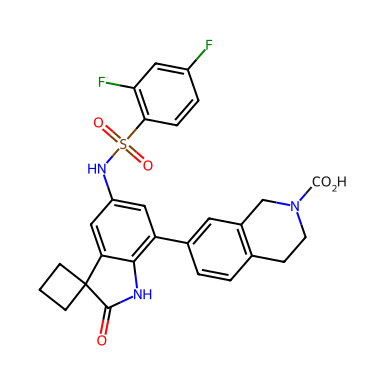 O=C(O)N1CCc2ccc(-c3cc(NS(=O)(=O)c4ccc(F)cc4F)cc4c3NC(=O)C43CCC3)cc2C1